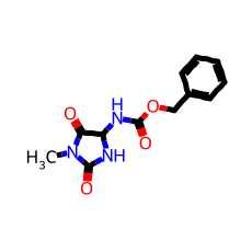 CN1C(=O)NC(NC(=O)OCc2ccccc2)C1=O